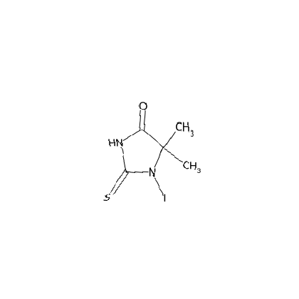 CC1(C)C(=O)NC(=S)N1I